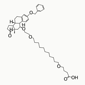 C[C@]12C[C@H](OCCOCCCCCCCCCCCOCCCC(=O)O)[C@@H]3c4ccc(OCc5ccccc5)cc4CC[C@H]3[C@@H]1CCC2=O